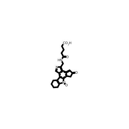 O=C(O)CCCC(=O)NCC1=c2c(c3c(c4c2=CC(=O)C4)[N+](=O)C2=C3CCCC2)C=N1